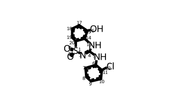 O=S1(=O)N=C(Nc2ccccc2Cl)Nc2c(O)cccc21